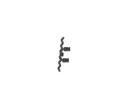 CCCCC(O)=COC=C(O)CCCC